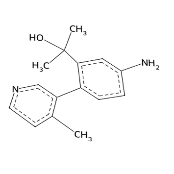 Cc1ccncc1-c1ccc(N)cc1C(C)(C)O